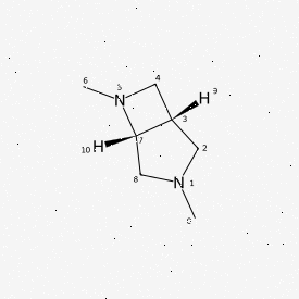 CN1C[C@H]2CN(C)[C@H]2C1